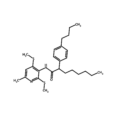 CCCCCCC(C(=O)Nc1c(SC)cc(C)nc1SC)c1ccc(CCCC)cc1